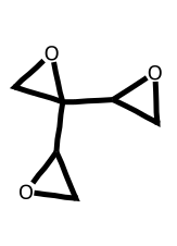 C1OC1C1(C2CO2)CO1